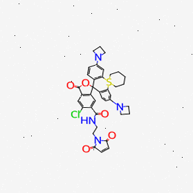 O=C(NCCN1C(=O)C=CC1=O)c1cc2c(cc1Cl)C(=O)OC21c2ccc(N3CCC3)cc2S2(CCCCC2)c2cc(N3CCC3)ccc21